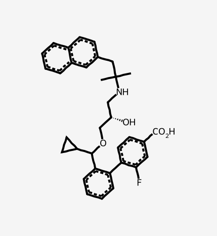 CC(C)(Cc1ccc2ccccc2c1)NC[C@H](O)COC(c1ccccc1-c1ccc(C(=O)O)cc1F)C1CC1